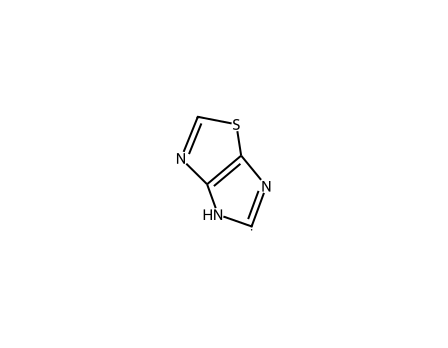 [c]1nc2scnc2[nH]1